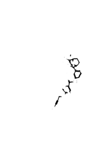 CC(C)(C)C#CCOc1cnc(C(=O)Nc2ccc(F)c([C@@]3(C)N=C(N)[C@@]4(CF)CC[C@@H]3S4(=O)=O)c2)cn1